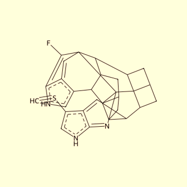 C#Sc1c[nH]c2c1=CC1(N=2)C2C3CC4CC5C6C7CC8CC2C82C7c7c[nH]c8c7=CC6(C=8F)C12C435